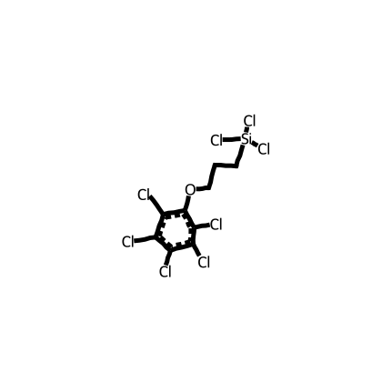 Clc1c(Cl)c(Cl)c(OCCC[Si](Cl)(Cl)Cl)c(Cl)c1Cl